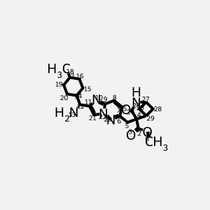 COC(=O)C1(Cc2ccc3nc([C@@H](N)C4CCC(C)CC4)cn3n2)C(=O)NC2CC1C2